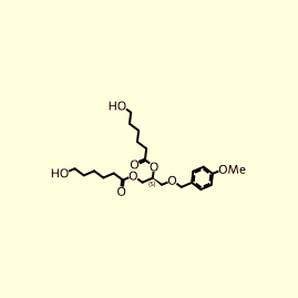 COc1ccc(COC[C@@H](COC(=O)CCCCCO)OC(=O)CCCCCO)cc1